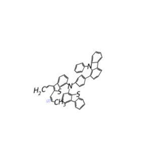 C=Cc1c(/C=C\C)sc2c(N(c3ccc(-c4cccc5c6ccccc6n(-c6ccccc6)c45)cc3)c3cccc4c3sc3ccccc34)cccc12